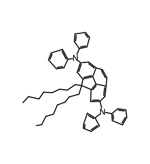 CCCCCCCCC1(CCCCCCCC)c2cc(N(c3ccccc3)c3ccccc3)cc3ccc4cc(N(c5ccccc5)c5ccccc5)cc1c4c23